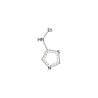 CCNc1cncs1